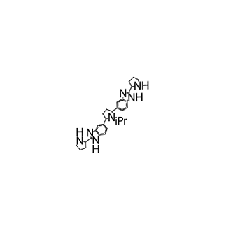 CC(C)N1C(c2ccc3[nH]c(C4CCCN4)nc3c2)CCC1c1ccc2[nH]c(C3CCCN3)nc2c1